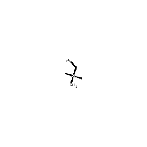 CCCC[Si](C)(C)[SiH2]